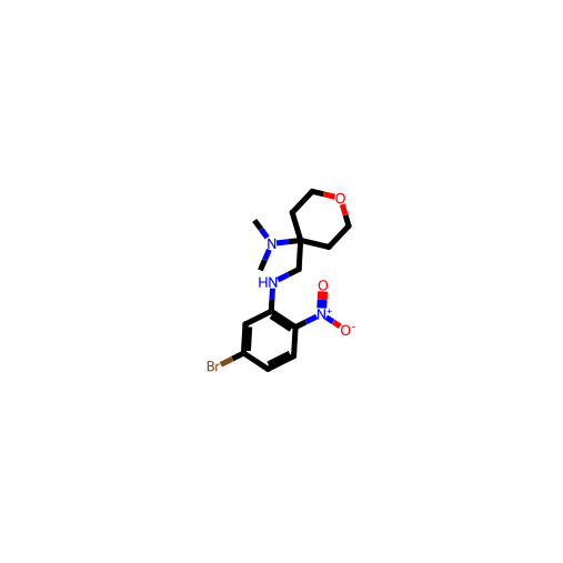 CN(C)C1(CNc2cc(Br)ccc2[N+](=O)[O-])CCOCC1